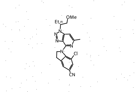 CC[C@H](COC)n1nnc2c(N3CCc4cc(C#N)cc(Cl)c43)nc(C)cc21